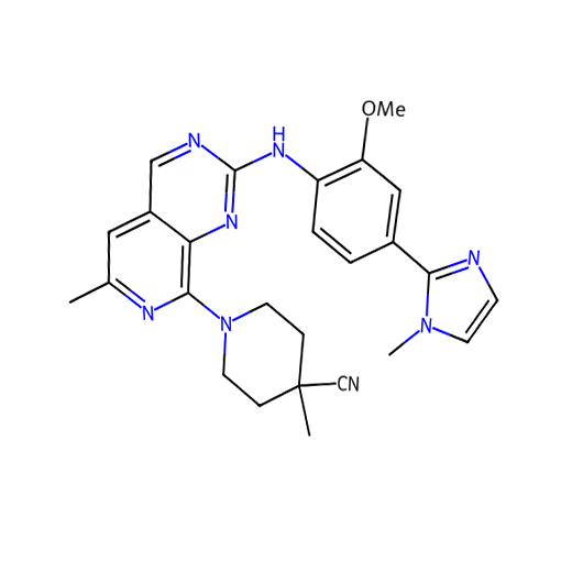 COc1cc(-c2nccn2C)ccc1Nc1ncc2cc(C)nc(N3CCC(C)(C#N)CC3)c2n1